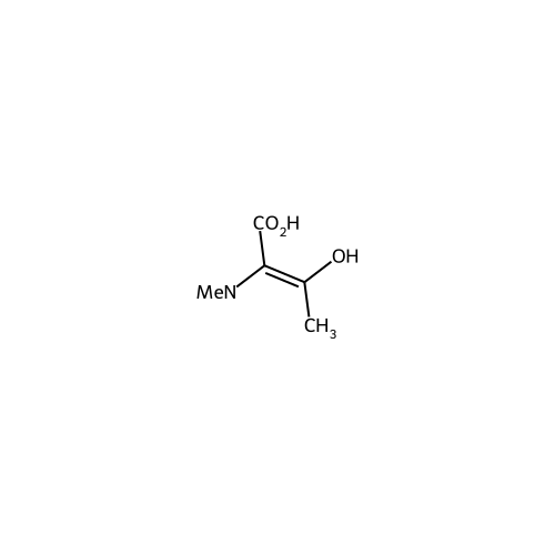 CN/C(C(=O)O)=C(\C)O